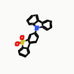 O=S1(=O)c2ccccc2-c2ccc(-n3c4ccccc4c4ccccc43)cc21